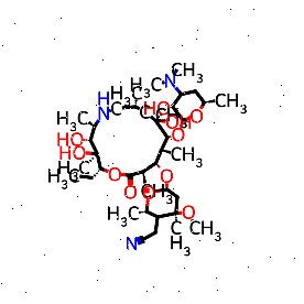 CC[C@H]1OC(=O)[C@H](C)[C@@H](O[C@H]2C[C@@](C)(OC)C(CC#N)[C@H](C)O2)[C@H](C)[C@@H](O[C@@H]2O[C@H](C)CC(N(C)C)[C@H]2O)[C@](C)(O)C[C@@H](C)CN[C@H](C)[C@@H](O)[C@]1(C)O